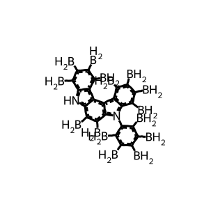 Bc1c(B)c(B)c(-n2c3c(B)c(B)c(B)c(B)c3c3c4c([nH]c5c(B)c(B)c(B)c(B)c54)c(B)c(B)c32)c(B)c1B